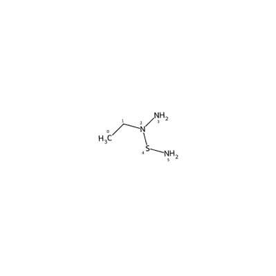 CCN(N)SN